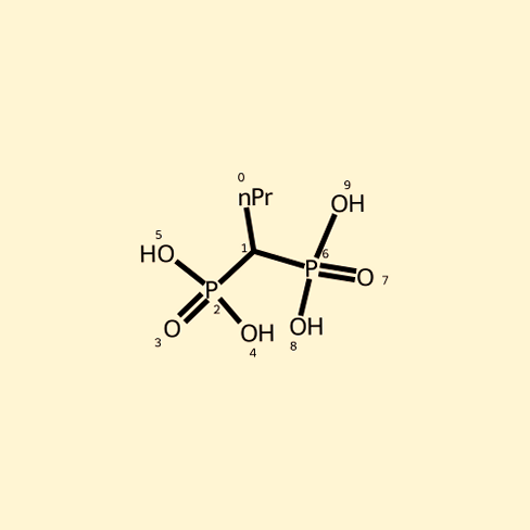 [CH2]CCC(P(=O)(O)O)P(=O)(O)O